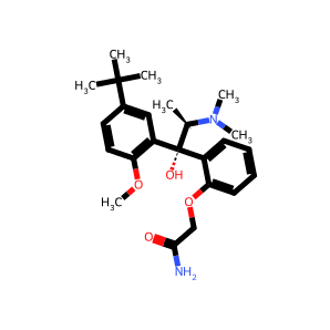 COc1ccc(C(C)(C)C)cc1[C@](O)(c1ccccc1OCC(N)=O)[C@@H](C)N(C)C